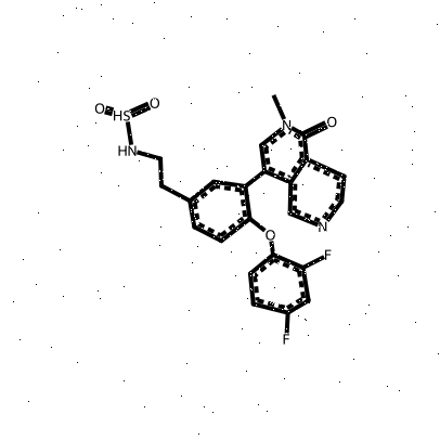 Cn1cc(-c2cc(CCN[SH](=O)=O)ccc2Oc2ccc(F)cc2F)c2cnccc2c1=O